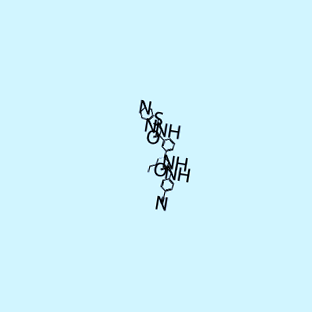 CCCC[C@@H](NC(=O)Nc1ccc(C#N)cc1)c1cccc(C(=O)Nc2nc3c(s2)CN(C)CC3)c1